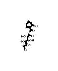 O=C(OC(O)[C@@H](O)[C@@H](O)[C@H](O)[C@H](O)CO)c1ccccc1O